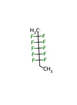 [CH2]C(F)(F)C(F)(F)C(F)(F)C(F)(F)C(F)(F)CC